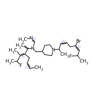 C=C(/C(C/C=C\C)=C(\C)C(C)F)N(/C=N\C)CC1CCN(C(C)/C=C\C/C(Br)=C\C(C)F)CC1